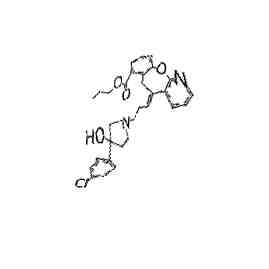 CCCOC(=O)c1cccc2c1CC(=CCCN1CCC(O)(c3ccc(Cl)cc3)CC1)c1cccnc1O2